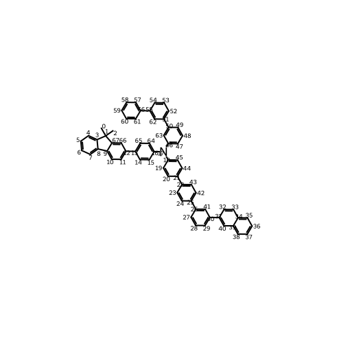 CC1(C)c2ccccc2-c2ccc(-c3ccc(N(c4ccc(-c5ccc(-c6cccc(-c7ccc8ccccc8c7)c6)cc5)cc4)c4cccc(-c5cccc(-c6ccccc6)c5)c4)cc3)cc21